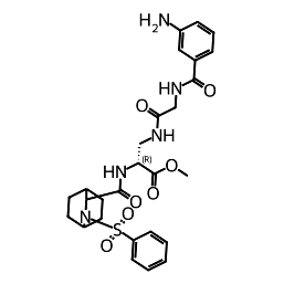 COC(=O)[C@@H](CNC(=O)CNC(=O)c1cccc(N)c1)NC(=O)C1C2CCC(CC2)N1S(=O)(=O)c1ccccc1